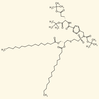 CCCCCCCCCCCCCCCC(=O)OC[C@H](CSCCS(=O)(=O)N(Cc1ccc(C(=O)N[C@@H](CCC(=O)OC(C)(C)C)C(=O)OC(C)(C)C)cc1)C(=O)OC(C)(C)C)OC(=O)CCCCCCCCCCCCCCC